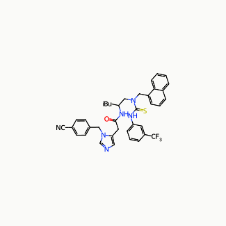 CCC(C)C(CN(Cc1cccc2ccccc12)C(=S)Nc1cccc(C(F)(F)F)c1)NC(=O)Cc1cncn1Cc1ccc(C#N)cc1